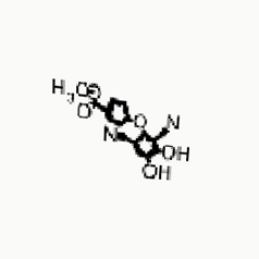 COC(=O)c1ccc(Oc2c(C#N)cc(O)c(O)c2C#N)cc1